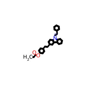 C=CC(=O)Oc1ccc(C=Cc2ccc3c(c2)c2ccccc2n3/C=C/c2ccccc2)cc1